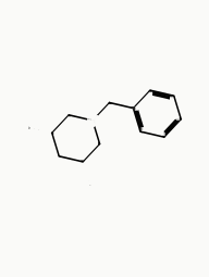 C[C@@H]1C[C@H](I)CN(Cc2ccccc2)C1